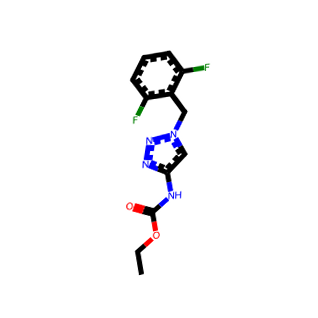 CCOC(=O)Nc1cn(Cc2c(F)cccc2F)nn1